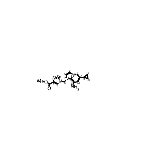 COC(=O)c1cn(Cn2cc[n+]3cc(C4CC4)cc(N)c23)nn1